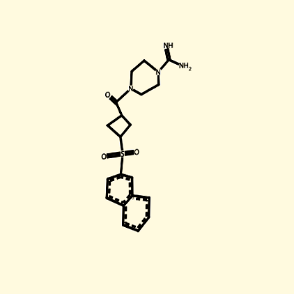 N=C(N)N1CCN(C(=O)C2CC(S(=O)(=O)c3ccc4ccccc4c3)C2)CC1